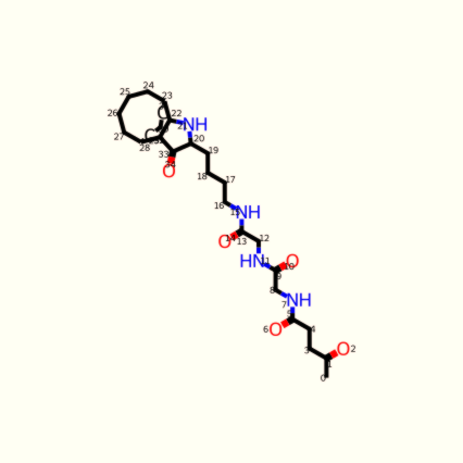 CC(=O)CCC(=O)NCC(=O)NCC(=O)NCCCCC1NC2C3CCCCC(CCC3)C2C1=O